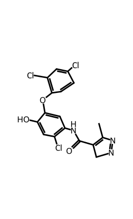 CC1=C(C(=O)Nc2cc(Oc3ccc(Cl)cc3Cl)c(O)cc2Cl)CN=N1